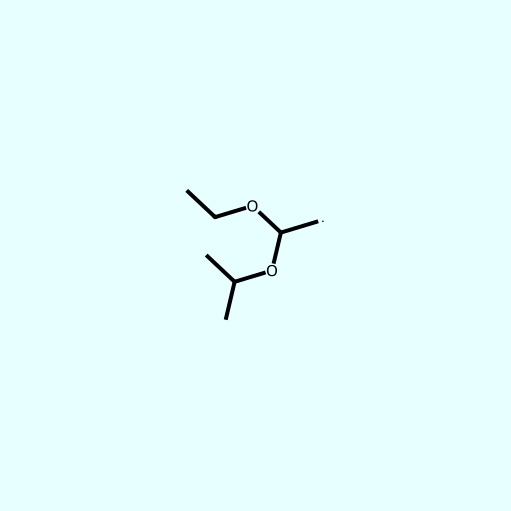 [CH2]C(OCC)OC(C)C